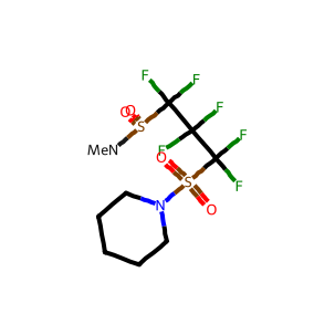 CNS(=O)(=O)C(F)(F)C(F)(F)C(F)(F)S(=O)(=O)N1CCCCC1